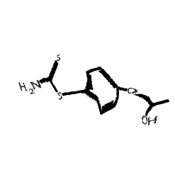 CC(O)Oc1ccc(SC(N)=S)cc1